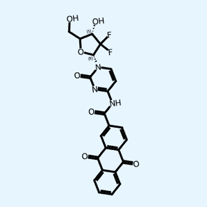 O=C(Nc1ccn([C@@H]2OC(CO)[C@H](O)C2(F)F)c(=O)n1)c1ccc2c(c1)C(=O)c1ccccc1C2=O